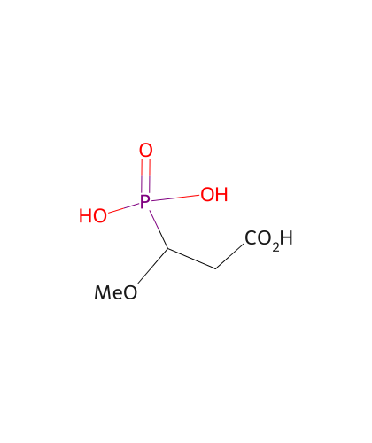 COC(CC(=O)O)P(=O)(O)O